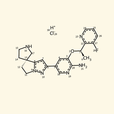 C[C@@H](Oc1cc(-c2cc3n(n2)CC[C@@]32CCNC2)cnc1N)c1ncccc1F.[Cl-].[H+]